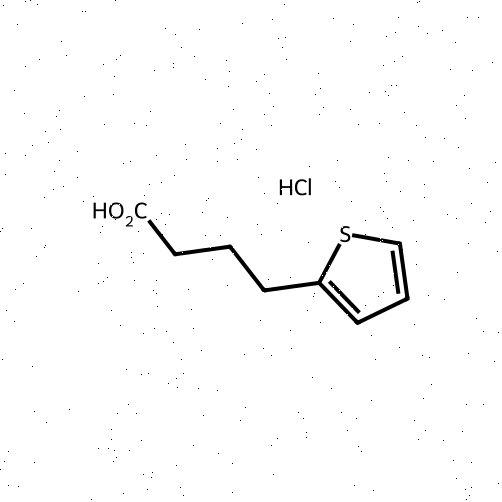 Cl.O=C(O)CCCc1cccs1